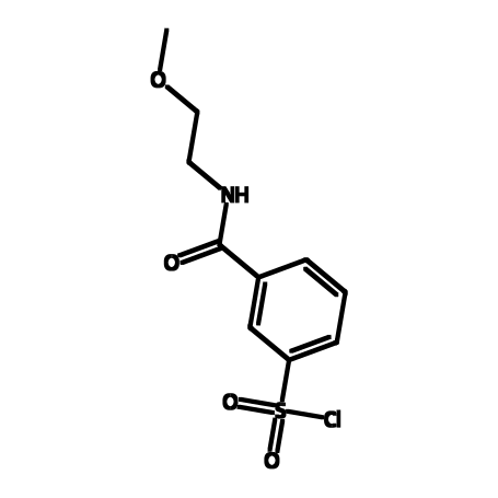 COCCNC(=O)c1cccc(S(=O)(=O)Cl)c1